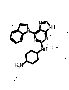 Cl.Cl.NC1CCC(Nc2nc(-n3ccc4ccccc43)c3nc[nH]c3n2)CC1